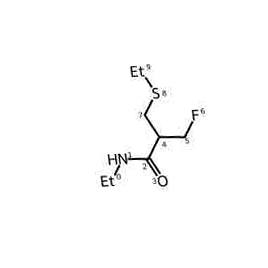 CCNC(=O)C(CF)CSCC